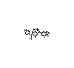 c1cc(Nc2ncc3c(-c4cnc5nccn5c4)c[nH]c3n2)ccn1